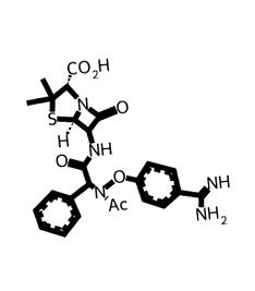 CC(=O)N(Oc1ccc(C(=N)N)cc1)C(C(=O)NC1C(=O)N2[C@@H]1SC(C)(C)[C@@H]2C(=O)O)c1ccccc1